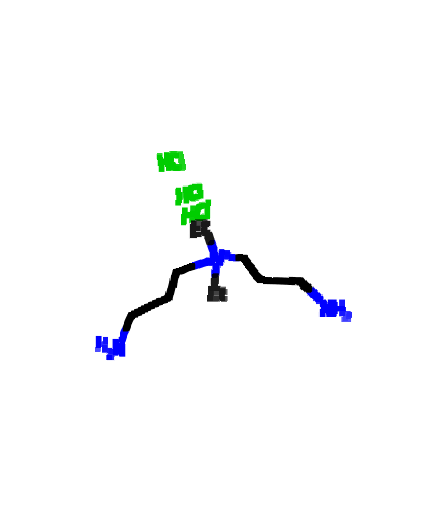 CC[N+](CC)(CCCN)CCCN.Cl.Cl.Cl